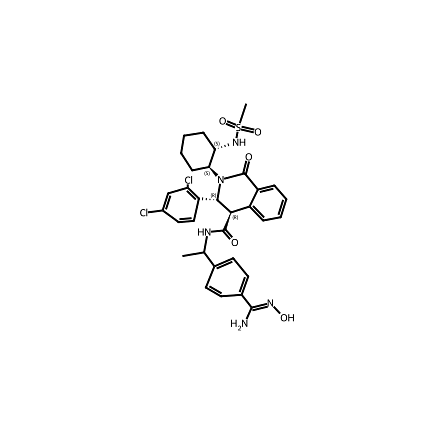 CC(NC(=O)[C@@H]1c2ccccc2C(=O)N([C@H]2CCCC[C@@H]2NS(C)(=O)=O)[C@H]1c1ccc(Cl)cc1Cl)c1ccc(C(N)=NO)cc1